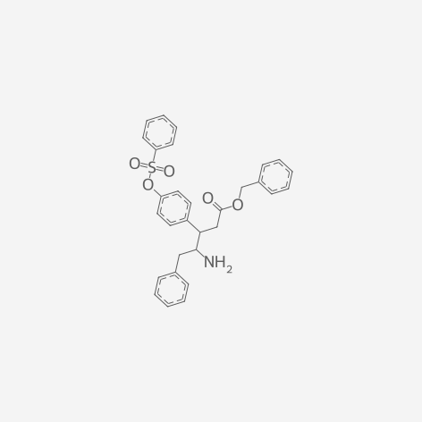 NC(Cc1ccccc1)C(CC(=O)OCc1ccccc1)c1ccc(OS(=O)(=O)c2ccccc2)cc1